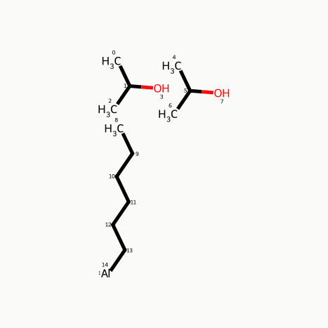 CC(C)O.CC(C)O.CCCCC[CH2][Al]